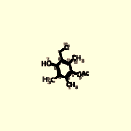 CC(=O)Oc1c(C)c(C)c(O)c(CCl)c1C